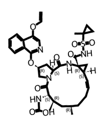 C=COc1cnc(O[C@@H]2C[C@H]3C(=O)N[C@]4(C(=O)NS(=O)(=O)C5(C)CC5)C[C@H]4C=CCC[C@@H](C)C[C@@H](C)[C@H](NC(=O)O)C(=O)N3C2)c2ccccc12